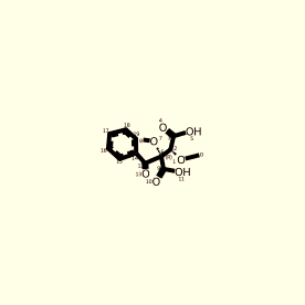 CO[C@@H](C(=O)O)[C@@](OC)(C(=O)O)C(=O)c1ccccc1